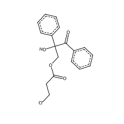 O=C(CCCl)OCC(O)(C(=O)c1ccccc1)c1ccccc1